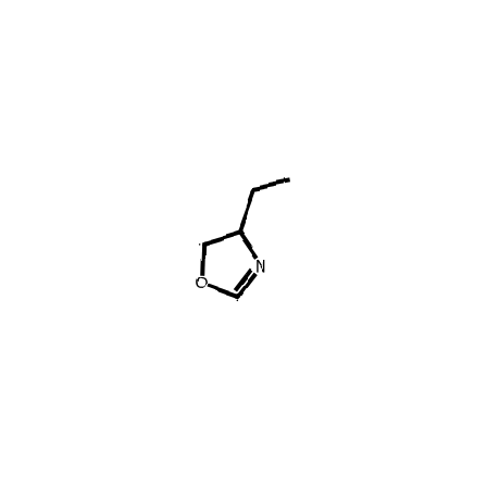 CCC1[CH]O[C]=N1